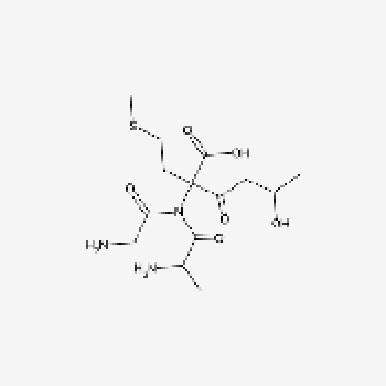 CSCCC(C(=O)O)(C(=O)CC(C)O)N(C(=O)CN)C(=O)C(C)N